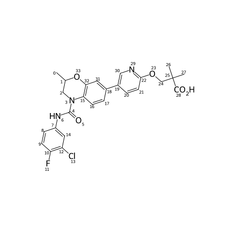 CC1CN(C(=O)Nc2ccc(F)c(Cl)c2)c2ccc(-c3ccc(OCC(C)(C)C(=O)O)nc3)cc2O1